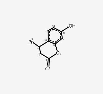 CC(C)C1CC(=O)Oc2cc(O)ccc21